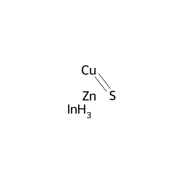 [InH3].[S]=[Cu].[Zn]